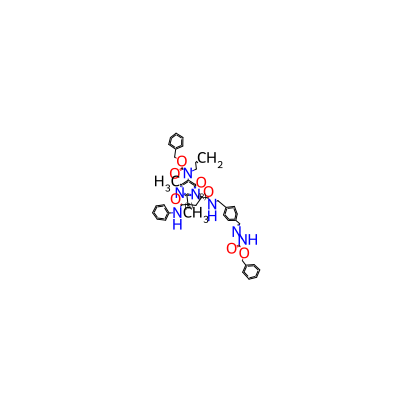 C=CCN(C(=O)OCc1ccccc1)c1c(C)nc2n(c1=O)[C@@H](C(=O)NCc1ccc(C=NNC(=O)OCc3ccccc3)cc1)C[C@]2(C)C(=O)Nc1ccccc1